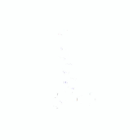 C[C@@H]1CC[C@@H](C)N1Cc1sc(NC(=O)c2cnc(N3CCN(CCC(=O)O)CC3)cn2)nc1-c1cc(C(F)(F)F)cs1